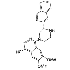 COc1cc2c(C#N)cnc(N3CCNC(c4ccc5ccccc5c4)C3)c2cc1OC